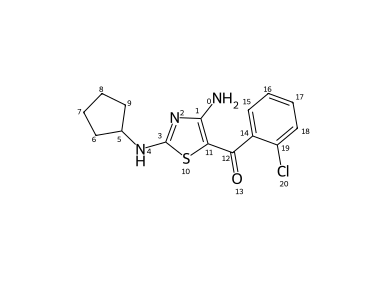 Nc1nc(NC2CCCC2)sc1C(=O)c1ccccc1Cl